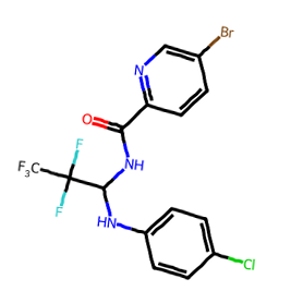 O=C(NC(Nc1ccc(Cl)cc1)C(F)(F)C(F)(F)F)c1ccc(Br)cn1